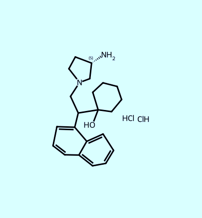 Cl.Cl.N[C@H]1CCN(CC(c2cccc3ccccc23)C2(O)CCCCC2)C1